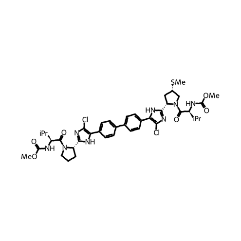 COC(=O)N[C@H](C(=O)N1CCC[C@H]1c1nc(Cl)c(-c2ccc(-c3ccc(-c4[nH]c([C@@H]5C[C@H](SC)CN5C(=O)[C@@H](NC(=O)OC)C(C)C)nc4Cl)cc3)cc2)[nH]1)C(C)C